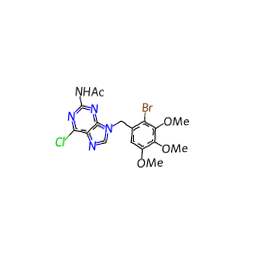 COc1cc(Cn2cnc3c(Cl)nc(NC(C)=O)nc32)c(Br)c(OC)c1OC